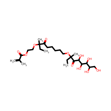 C=C(C)C(=O)OCCOC(C)(CC)C(=O)CCCCCOC(C)(CC)C(=O)C(O)C(O)C(O)C(O)CO